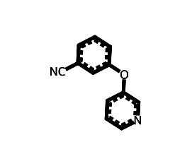 N#Cc1cccc(Oc2cccnc2)c1